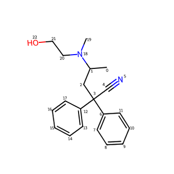 CC(CC(C#N)(c1ccccc1)c1ccccc1)N(C)CCO